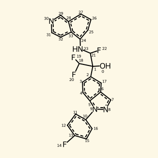 OC(c1ccc2c(cnn2-c2ccc(F)cc2)c1)(C(F)F)C(F)Nc1cccc2cnccc12